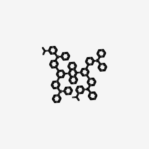 CC(C)c1cccc(N(c2ccccc2)c2cccc(-c3cc(-c4cccc(N(c5ccccc5)c5ccccc5)c4)cc(-c4c5ccccc5c(-c5cc(-c6cccc(N(c7ccccc7)c7ccccc7)c6)cc(-c6cccc(N(c7ccccc7)c7cccc(C(C)C)c7)c6)c5)c5ccccc45)c3)c2)c1